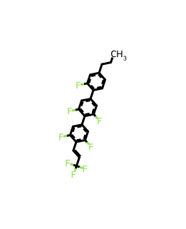 CCCc1ccc(-c2cc(F)c(-c3cc(F)c(/C=C/C(F)(F)F)c(F)c3)c(F)c2)c(F)c1